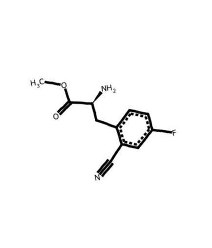 COC(=O)[C@@H](N)Cc1ccc(F)cc1C#N